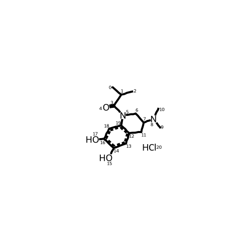 CC(C)C(=O)N1CC(N(C)C)Cc2cc(O)c(O)cc21.Cl